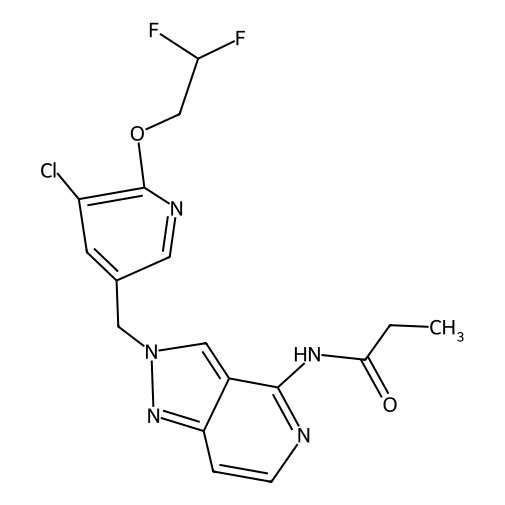 CCC(=O)Nc1nccc2nn(Cc3cnc(OCC(F)F)c(Cl)c3)cc12